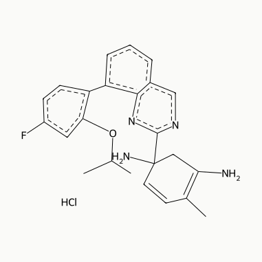 CC1=C(N)CC(N)(c2ncc3cccc(-c4ccc(F)cc4OC(C)C)c3n2)C=C1.Cl